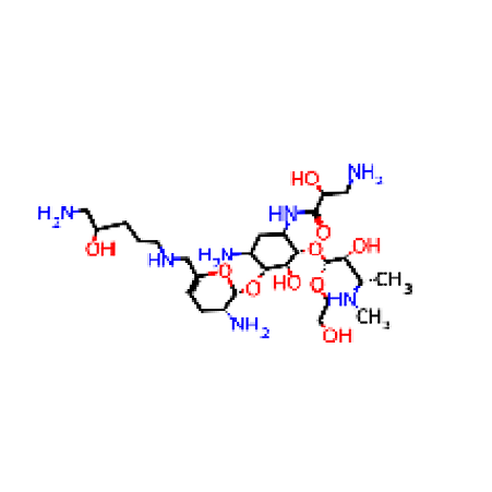 CN[C@@H](C)[C@@H](O)[C@H](OCCO)O[C@@H]1[C@@H](O)[C@H](O[C@H]2OC(CNCCCC(O)CN)=CC[C@H]2N)[C@@H](N)C[C@H]1NC(=O)[C@@H](O)CN